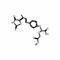 COC(=O)COC(Oc1ccc(C=CC(C)=C2SC(=S)NC2=O)cc1)C(=O)O